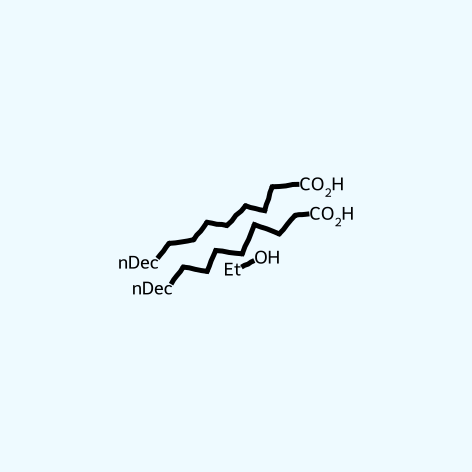 CCCCCCCCCCCCCCCCCC(=O)O.CCCCCCCCCCCCCCCCCC(=O)O.CCO